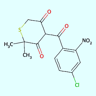 CC1(C)SCC(=O)C(C(=O)c2ccc(Cl)cc2[N+](=O)[O-])C1=O